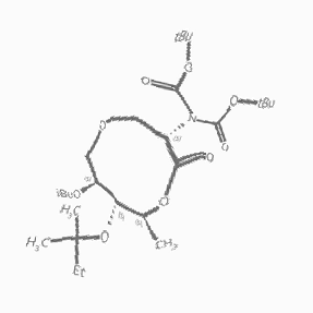 CCC(C)(C)O[C@H]1[C@H](C)OC(=O)[C@@H](N(C(=O)OC(C)(C)C)C(=O)OC(C)(C)C)COC[C@@H]1OCC(C)C